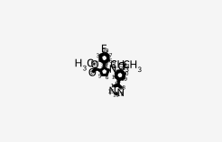 COC(=O)C1CCC(N(C)c2cc(-c3cncnc3)ccc2OC)C1c1ccc(F)cc1